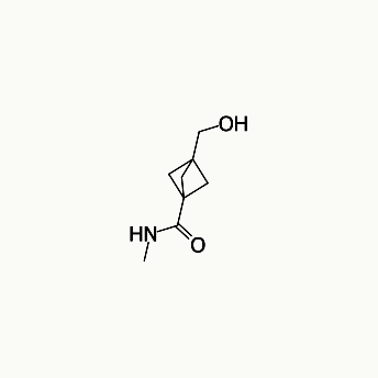 CNC(=O)C12CC(CO)(C1)C2